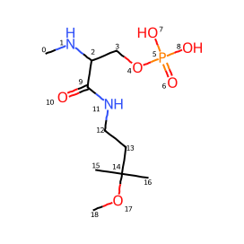 CNC(COP(=O)(O)O)C(=O)NCCC(C)(C)OC